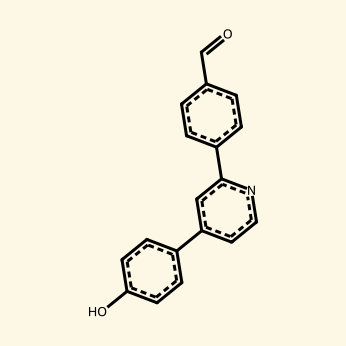 O=Cc1ccc(-c2cc(-c3ccc(O)cc3)ccn2)cc1